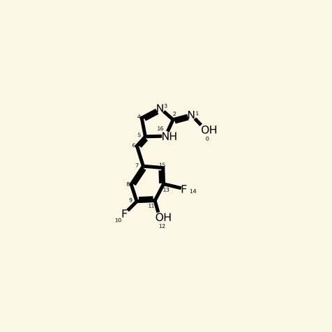 ON=C1N=CC(=Cc2cc(F)c(O)c(F)c2)N1